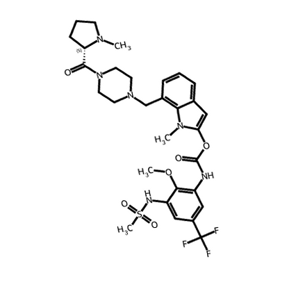 COc1c(NC(=O)Oc2cc3cccc(CN4CCN(C(=O)[C@@H]5CCCN5C)CC4)c3n2C)cc(C(F)(F)F)cc1NS(C)(=O)=O